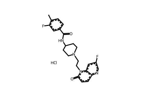 Cc1ccc(C(=O)NC2CCN(CCn3c(=O)ccc4ncc(F)cc43)CC2)cc1F.Cl